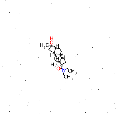 CCN(CC)C(=O)[C@H]1CC[C@H]2[C@@H]3CC[C@@H]4C[C@](C)(O)CC[C@@H]4[C@H]3CC[C@]12C